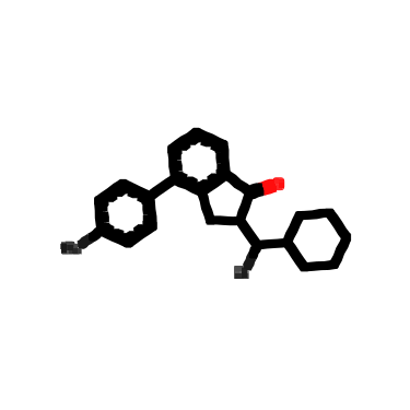 CCC(C1CCCCC1)C1Cc2c(cccc2-c2ccc(C(C)(C)C)cc2)C1=O